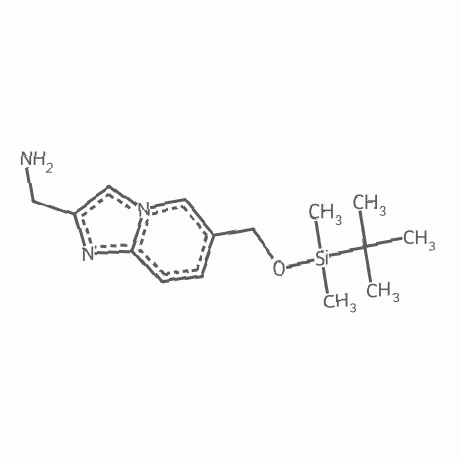 CC(C)(C)[Si](C)(C)OCc1ccc2nc(CN)cn2c1